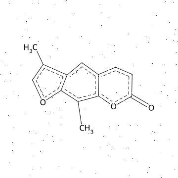 Cc1coc2c(C)c3oc(=O)ccc3cc12